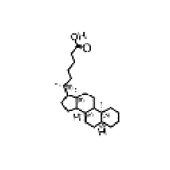 C[C@H](CCCCC(=O)O)C1CCC2[C@@H]3CC[C@@H]4CCCC[C@]4(C)C3CC[C@@]21C